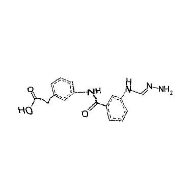 NN=CNc1cccc(C(=O)Nc2cccc(CC(=O)O)c2)c1